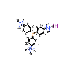 C[N+](C)(C)c1ccc(P(c2ccc([N+](C)(C)C)cc2)c2ccc([N+](C)(C)C)cc2)cc1.I